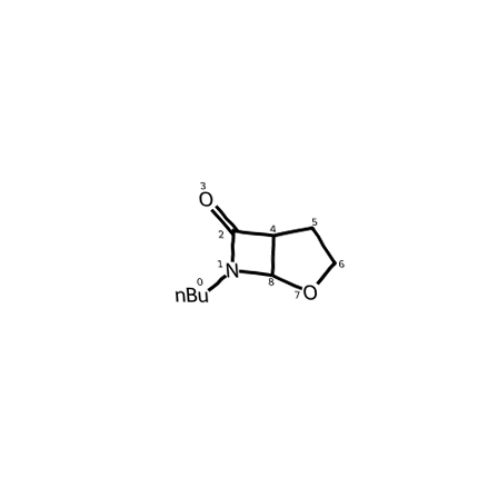 CCCCN1C(=O)C2CCOC21